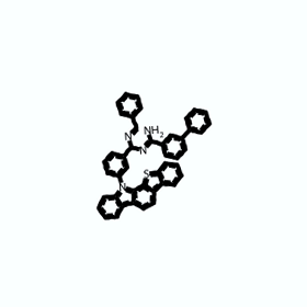 N/C(=N\C(/N=C/c1ccccc1)c1cccc(-n2c3ccccc3c3ccc4c5ccccc5sc4c32)c1)c1cccc(-c2ccccc2)c1